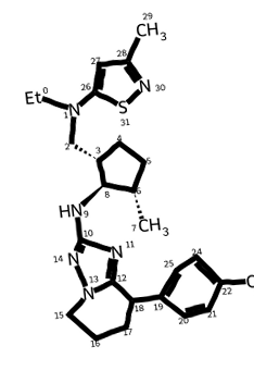 CCN(C[C@@H]1CC[C@H](C)[C@H]1Nc1nc2n(n1)CCCC2c1ccc(C(F)(F)F)cc1)c1cc(C)ns1